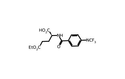 CCOC(=O)CC[C@H](NC(=O)c1ccc(NC(F)(F)F)cc1)C(=O)O